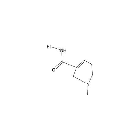 CCNC(=O)C1=CCCN(C)C1